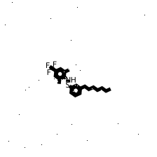 CCCCCCCc1cccc(SNc2c(C)cc(C(F)(F)F)cc2C)c1